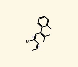 C/C=C\C(=C/C(=C(C)C)c1ccccc1C)CC